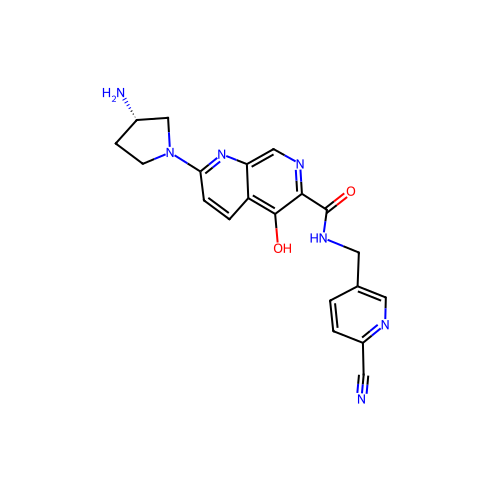 N#Cc1ccc(CNC(=O)c2ncc3nc(N4CC[C@H](N)C4)ccc3c2O)cn1